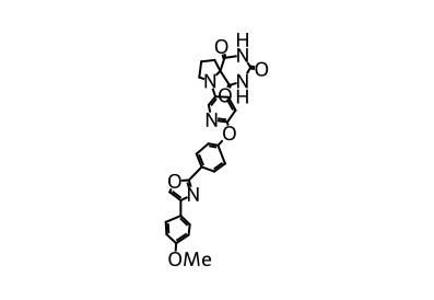 COc1ccc(-c2coc(-c3ccc(Oc4ccc(N5CCCC56C(=O)NC(=O)NC6=O)cn4)cc3)n2)cc1